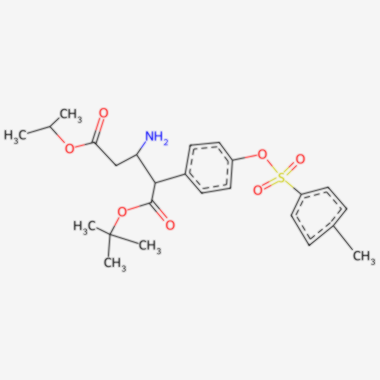 Cc1ccc(S(=O)(=O)Oc2ccc(C(C(=O)OC(C)(C)C)C(N)CC(=O)OC(C)C)cc2)cc1